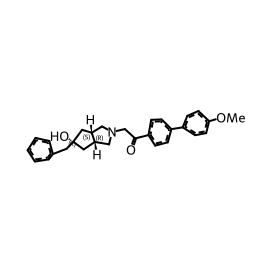 COc1ccc(-c2ccc(C(=O)CN3C[C@@H]4C[C@@](O)(Cc5ccccc5)C[C@@H]4C3)cc2)cc1